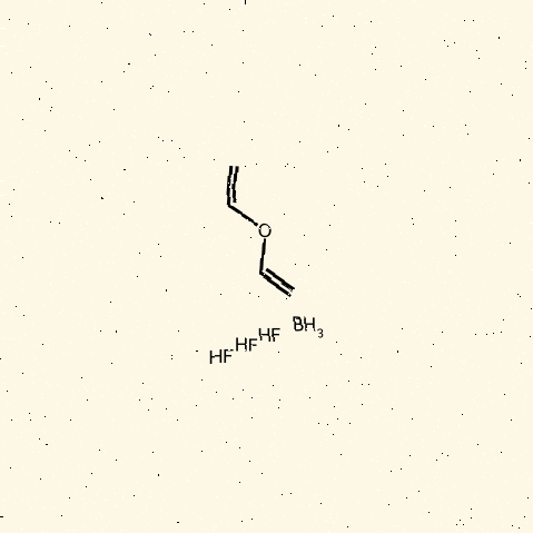 B.C=COC=C.F.F.F